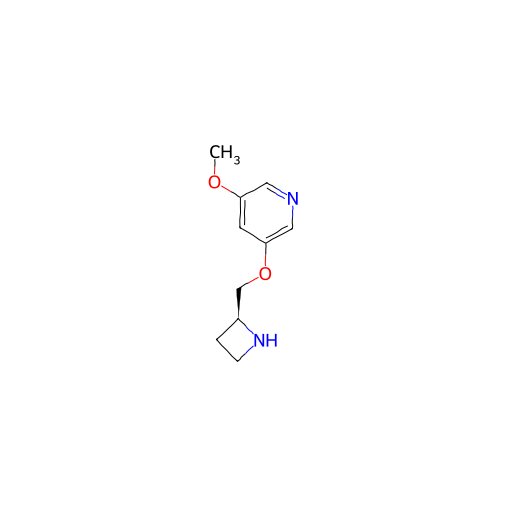 COc1cncc(OC[C@@H]2CCN2)c1